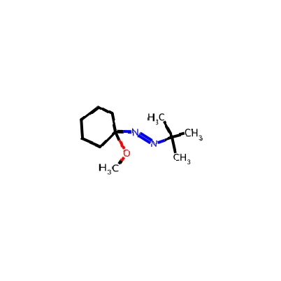 COC1(/N=N/C(C)(C)C)CCCCC1